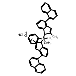 CC1=Cc2c(-c3cccc4ccccc34)cccc2[CH]1[Hf]([CH3])(=[GeH2])([c]1ccccc1)[CH]1C(C)=Cc2c(-c3cccc4ccccc34)cccc21.Cl.Cl